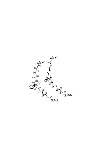 CCCCCCCCCCCCCCCCCCP(=O)([O-])CCCCCCCCCCCCCCCCCC.CCCCCCCCCCCCCCCCCCP(=O)([O-])CCCCCCCCCCCCCCCCCC.[Co+2]